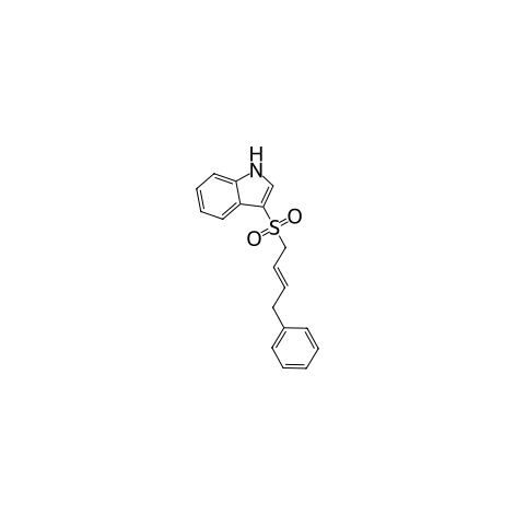 O=S(=O)(CC=CCc1ccccc1)c1c[nH]c2ccccc12